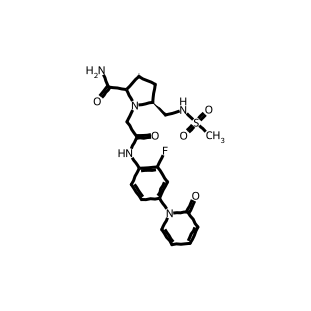 CS(=O)(=O)NC[C@@H]1C[CH]C(C(N)=O)N1CC(=O)Nc1ccc(-n2ccccc2=O)cc1F